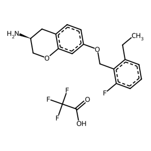 CCc1cccc(F)c1COc1ccc2c(c1)OC[C@@H](N)C2.O=C(O)C(F)(F)F